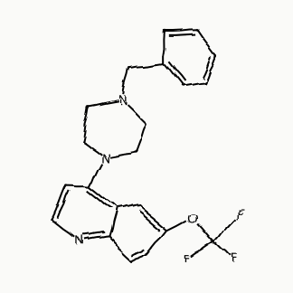 FC(F)(F)Oc1ccc2nccc(N3CCN(Cc4ccccc4)CC3)c2c1